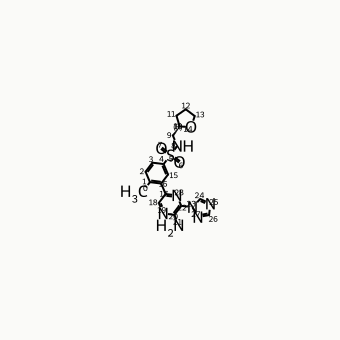 Cc1ccc(S(=O)(=O)NC[C@H]2CCCO2)cc1-c1cnc(N)c(-n2cncn2)n1